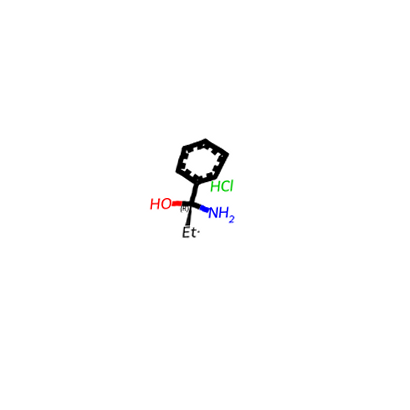 C[CH][C@@](N)(O)c1ccccc1.Cl